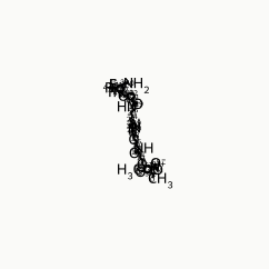 C[CH]c1cc(OC)c(OCCCC(=O)NCCOCCn2cc(CCCCNC(=O)c3cccc(Oc4cc(CN)cc(C(F)(F)F)n4)c3)nn2)cc1[N+](=O)[O-]